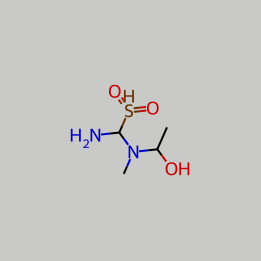 CC(O)N(C)C(N)[SH](=O)=O